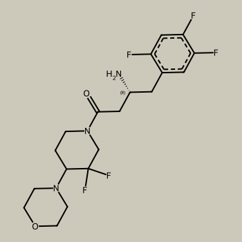 N[C@@H](CC(=O)N1CCC(N2CCOCC2)C(F)(F)C1)Cc1cc(F)c(F)cc1F